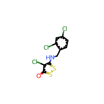 O=c1ssc(NCc2ccc(Cl)cc2Cl)c1Cl